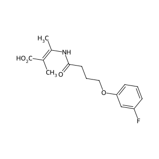 CC(NC(=O)CCCOc1cccc(F)c1)=C(C)C(=O)O